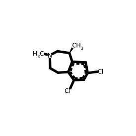 C[C@@H]1CN(C)CCc2c(Cl)cc(Cl)cc21